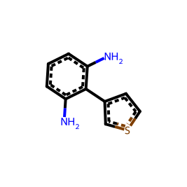 Nc1cccc(N)c1-c1ccsc1